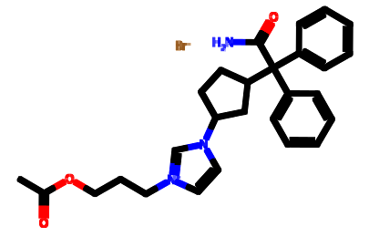 CC(=O)OCCC[n+]1ccn(C2CCC(C(C(N)=O)(c3ccccc3)c3ccccc3)C2)c1.[Br-]